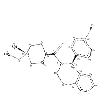 N[C@@]1(CO)CC[C@@H](C(=O)N2CCc3ccccc3[C@@H]2c2ccc(F)cc2)OC1